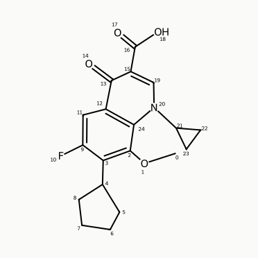 COc1c(C2CCCC2)c(F)cc2c(=O)c(C(=O)O)cn(C3CC3)c12